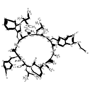 C=CC(C)(C)n1cc(C[C@@H]2NC(=O)[C@H](Cc3ccc(F)cc3)NC(=O)[C@H](CC(C)C)N3CCC[C@@H](C3=O)N(C)C(=O)[C@H](C)NC(=O)[C@H](Cc3ccc4nc(OCF)ncc4c3)NC(=O)[C@H](CC(C)C)N(C)C2=O)c2ccccc21